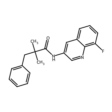 CC(C)(Cc1ccccc1)C(=O)Nc1cnc2c(F)cccc2c1